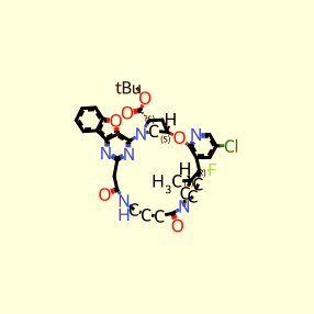 C[C@H]1CN2CC[C@]1(F)c1cc(Cl)cnc1O[C@H]1C[C@@H](C(=O)OC(C)(C)C)N(C1)c1nc(nc3c1oc1ccccc13)CC(=O)NCCCC2=O